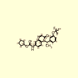 C[C@@H](c1cccc(OC(F)(F)F)c1)n1c(=O)cnc2cc(NC(=O)OC3CCCC3)ccc21